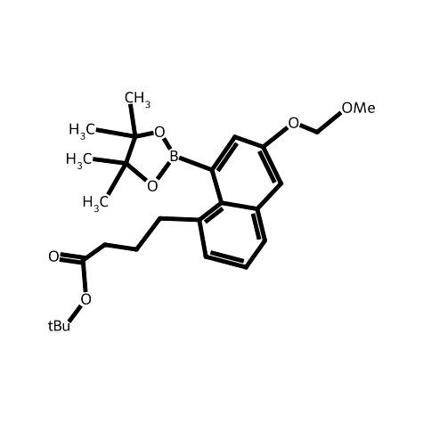 COCOc1cc(B2OC(C)(C)C(C)(C)O2)c2c(CCCC(=O)OC(C)(C)C)cccc2c1